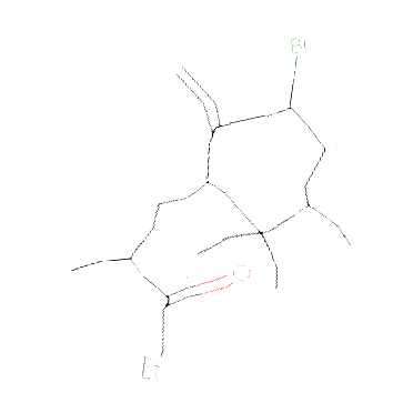 C=C1C(Br)CC(C)C(C)(C)C1CC(C)C(=O)CC